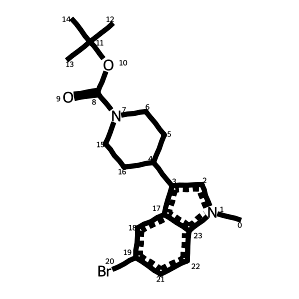 Cn1cc(C2CCN(C(=O)OC(C)(C)C)CC2)c2cc(Br)ccc21